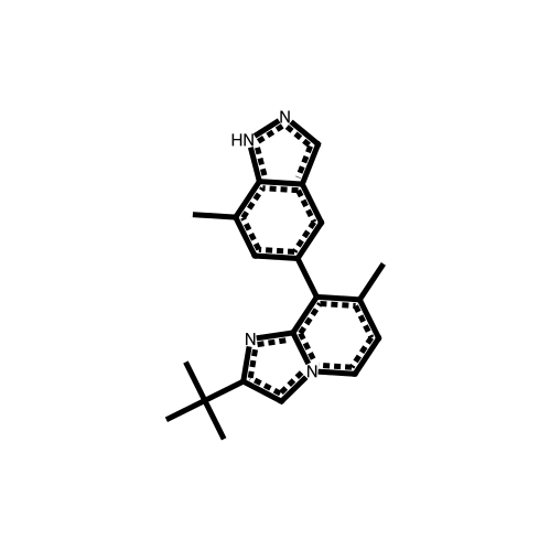 Cc1ccn2cc(C(C)(C)C)nc2c1-c1cc(C)c2[nH]ncc2c1